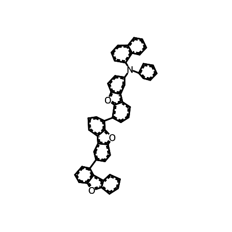 c1ccc(N(c2ccc3oc4c(-c5cccc6c5oc5ccc(-c7cccc8oc9ccccc9c78)cc56)cccc4c3c2)c2cccc3ccccc23)cc1